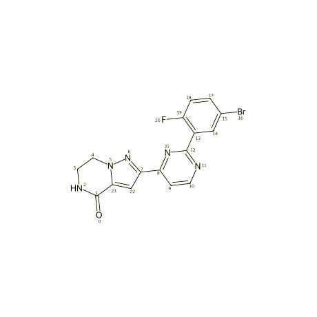 O=C1NCCn2nc(-c3ccnc(-c4cc(Br)ccc4F)n3)cc21